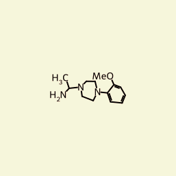 COc1ccccc1N1CCN(C(C)N)CC1